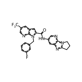 O=C(Nc1cnc2c(c1)nc1n2CCC1)c1cc2cc(C(F)(F)F)cnc2n1Cc1cccc(F)c1